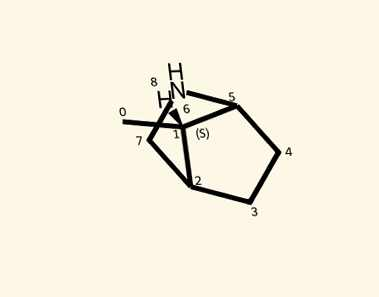 C[C@H]1C2CCC1NC2